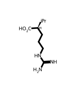 CC(C)[C@@H](CCCNC(=N)N)C(=O)O